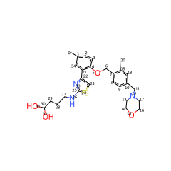 Cc1ccc(OCc2ccc(CN3CCOCC3)cc2C)c(-c2csc(NCCCC(O)O)n2)c1